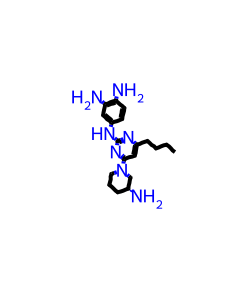 CCCCc1cc(N2CCC[C@@H](N)C2)nc(Nc2ccc(N)c(N)c2)n1